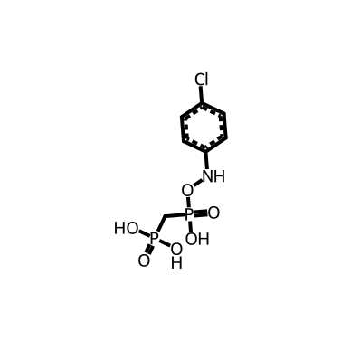 O=P(O)(O)CP(=O)(O)ONc1ccc(Cl)cc1